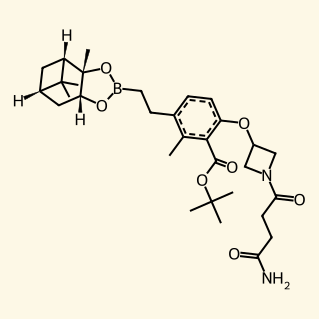 Cc1c(CCB2O[C@@H]3C[C@@H]4C[C@@H](C4(C)C)[C@]3(C)O2)ccc(OC2CN(C(=O)CCC(N)=O)C2)c1C(=O)OC(C)(C)C